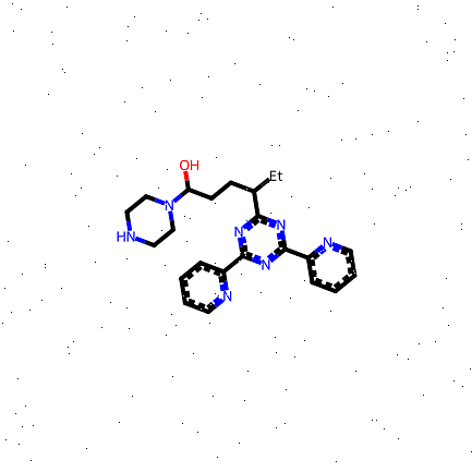 CCC(CCC(O)N1CCNCC1)c1nc(-c2ccccn2)nc(-c2ccccn2)n1